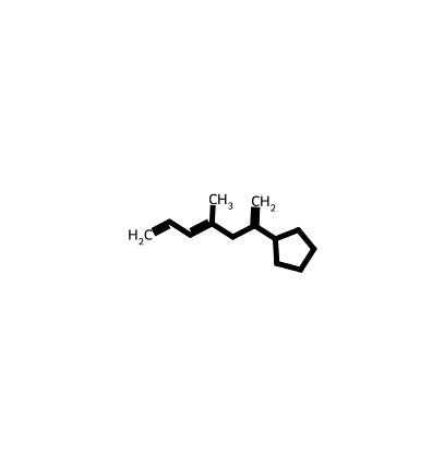 C=C/C=C(\C)CC(=C)C1CCCC1